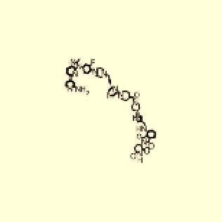 Cc1nc2ccc(-c3ccnc(N)c3)nc2n1-c1ccc(N2CCN(CC#Cc3cncc(N4CCC(C(=O)N5CCC(n6cc(CNc7cccc8c7C(=O)N(C7CCC(=O)NC7=O)C8=O)cn6)CC5)CC4)n3)CC2)c(F)c1